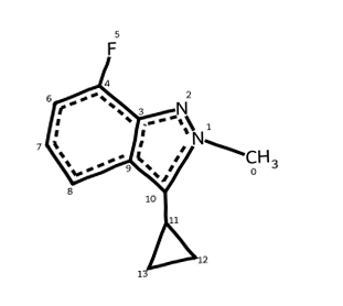 Cn1nc2c(F)cccc2c1C1CC1